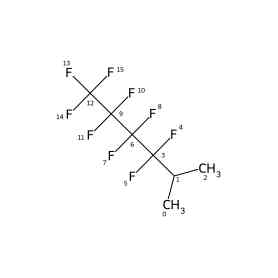 CC(C)C(F)(F)C(F)(F)C(F)(F)C(F)(F)F